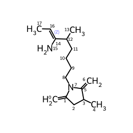 C=C1CC(C)C(=C)N1CCCCC(C)/C(N)=C/C